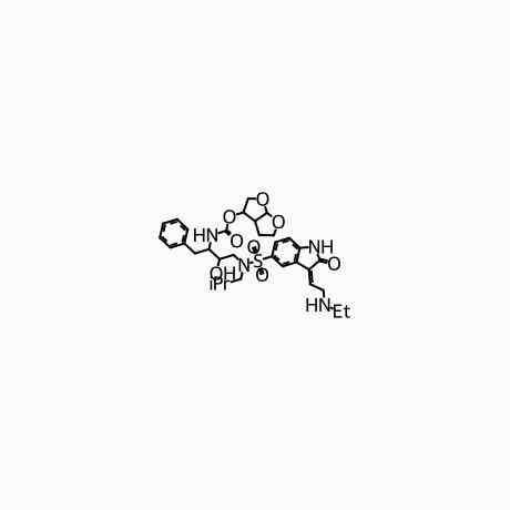 CCNCC=C1C(=O)Nc2ccc(S(=O)(=O)N(CC(C)C)CC(O)C(Cc3ccccc3)NC(=O)OC3COC4OCCC34)cc21